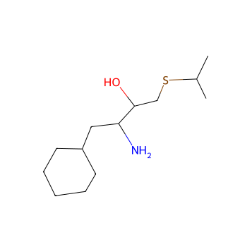 CC(C)SCC(O)C(N)CC1CCCCC1